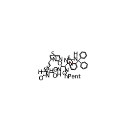 CCCCCON=C(C(=O)NOC(=O)C1=C(C=Cc2csc3cncn23)C2S[C@@H]3[C@@H]2C(=O)N13)c1nsc(NC(c2ccccc2)(c2ccccc2)c2ccccc2)n1